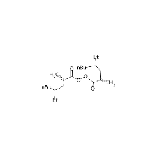 C=C(CC(CC)CCCC)C(=O)OOC(=O)C(=C)CC(CC)CCCC